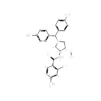 CCO[C@H]1CN(C(c2ccc(Cl)cc2)c2ccc(C#N)cc2)C[C@@H]1NC(=O)c1ccc(C#N)cc1F